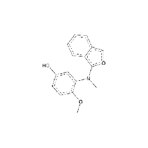 COc1ccc(O)cc1N(C)c1occ2ccccc12